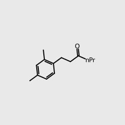 CCCC(=O)CCc1ccc(C)cc1C